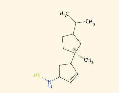 CC(C)C1CC[C@](C)(C2C=CC(NS)C2)C1